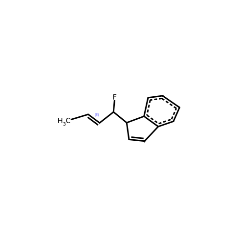 C/C=C/C(F)C1C=[C]c2ccccc21